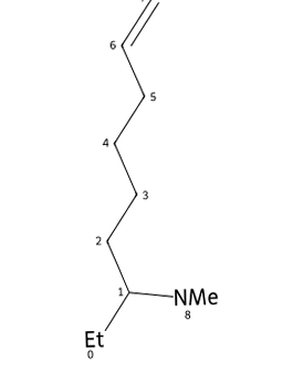 [CH2]CC(CCCCC=C)NC